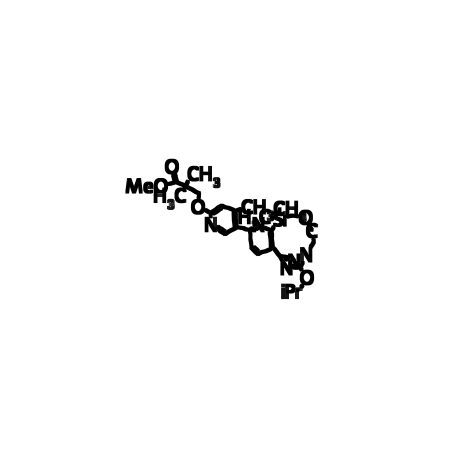 COC(=O)C(C)(C)COc1cc(C)c(-c2ccc3c(n2)[Si](C)(C)COCCn2nc-3nc2OC(C)C)cn1